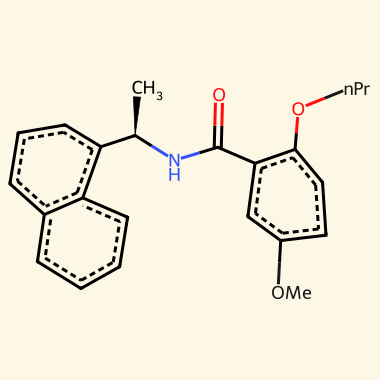 CCCOc1ccc(OC)cc1C(=O)N[C@H](C)c1cccc2ccccc12